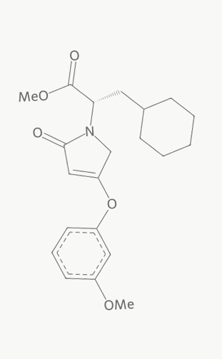 COC(=O)[C@H](CC1CCCCC1)N1CC(Oc2cccc(OC)c2)=CC1=O